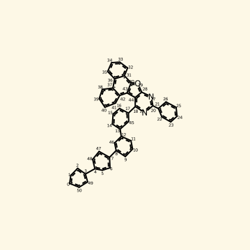 c1ccc(-c2ccc(-c3cccc(-c4cccc(-c5nc(-c6ccccc6)nc6oc7c8ccccc8c8ccccc8c7c56)c4)c3)cc2)cc1